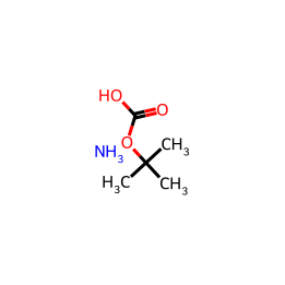 CC(C)(C)OC(=O)O.N